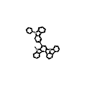 Cn1c2ccccc2c2c3c4cccc5c6ccccc6n(c3cc(-c3ccc6c(c3)c3ccccc3n6-c3ccccc3)c21)c54